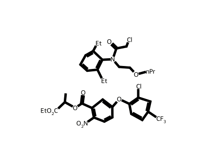 CCCOCCN(C(=O)CCl)c1c(CC)cccc1CC.CCOC(=O)C(C)OC(=O)c1cc(Oc2ccc(C(F)(F)F)cc2Cl)ccc1[N+](=O)[O-]